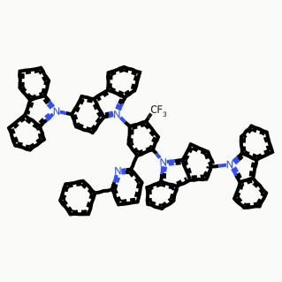 FC(F)(F)c1cc(-n2c3ccccc3c3cc(-n4c5ccccc5c5ccccc54)ccc32)c(-c2cccc(-c3ccccc3)n2)cc1-n1c2ccccc2c2cc(-n3c4ccccc4c4ccccc43)ccc21